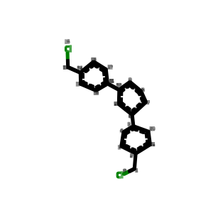 ClCc1ccc(-c2cccc(-c3ccc(CCl)cc3)c2)cc1